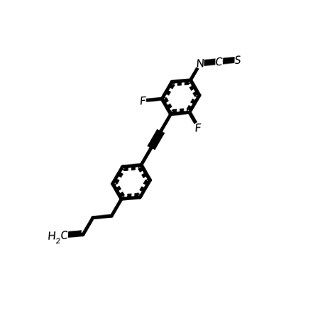 C=CCCc1ccc(C#Cc2c(F)cc(N=C=S)cc2F)cc1